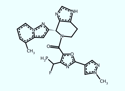 Cc1cccn2nc([C@@H]3c4nc[nH]c4CCN3C(=O)c3oc(-c4cnn(C)c4)nc3C(F)P)cc12